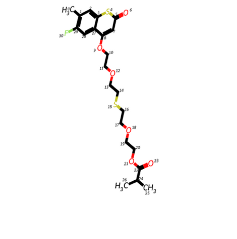 Cc1cc2sc(=O)cc(OCCOCCSCCOCCOC(=O)C(C)C)c2cc1F